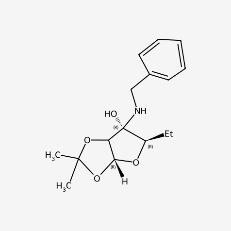 CC[C@H]1O[C@@H]2OC(C)(C)OC2[C@@]1(O)NCc1ccccc1